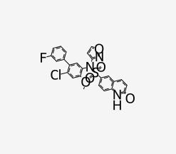 COc1cc(Cl)c(-c2cccc(F)c2)cc1N(c1ccon1)S(=O)(=O)c1ccc2[nH]c(=O)ccc2c1